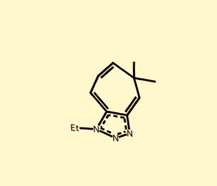 CCn1nnc2c1=CC=CC(C)(C)C=2